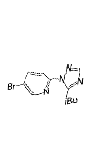 CCC(C)c1ncnn1-c1ccc(Br)cn1